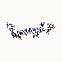 CCN1CCC(C#N)(c2ccc(-c3cnc4[nH]cc(Cc5c(F)c(OC)cc(OCc6ccc(-c7cnc8[nH]cc(Cc9c(F)c(OC)cc(OCc%10cc(-c%11cnc%12[nH]cc(Cc%13c(F)c(OC)cc(OC)c%13F)c%12c%11)cc(C%11(C#N)CCN(CC)CC%11)c%10)c9F)c8c7)cc6C6(C#N)CCNCC6)c5F)c4c3)cc2)CC1